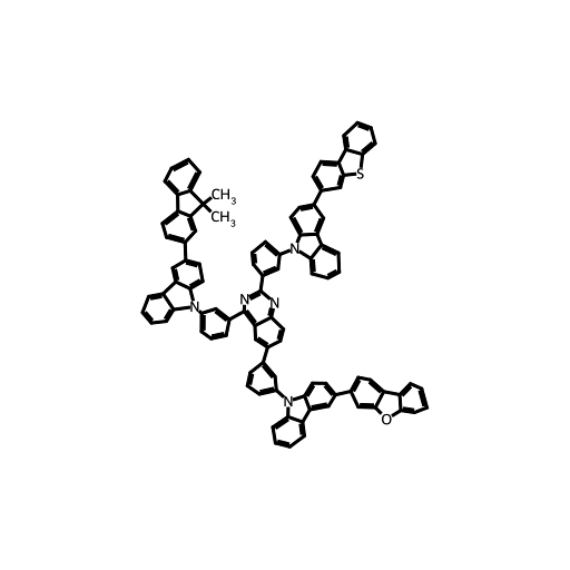 CC1(C)c2ccccc2-c2ccc(-c3ccc4c(c3)c3ccccc3n4-c3cccc(-c4nc(-c5cccc(-n6c7ccccc7c7cc(-c8ccc9c(c8)sc8ccccc89)ccc76)c5)nc5ccc(-c6cccc(-n7c8ccccc8c8cc(-c9ccc%10c(c9)oc9ccccc9%10)ccc87)c6)cc45)c3)cc21